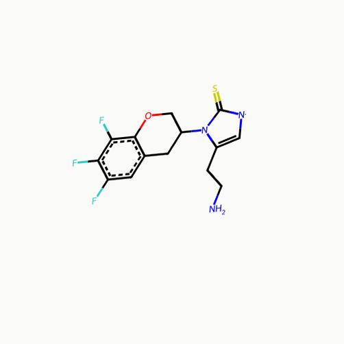 NCCC1=C[N]C(=S)N1C1COc2c(cc(F)c(F)c2F)C1